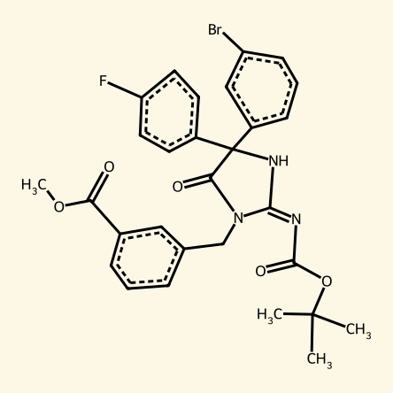 COC(=O)c1cccc(CN2C(=O)C(c3ccc(F)cc3)(c3cccc(Br)c3)N/C2=N/C(=O)OC(C)(C)C)c1